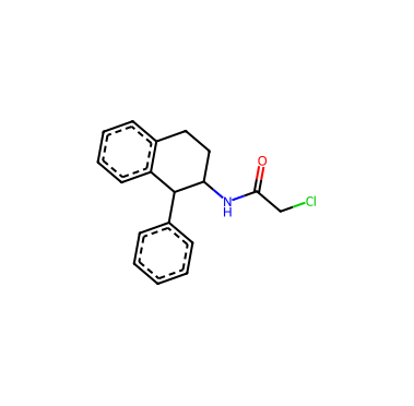 O=C(CCl)NC1CCc2ccccc2C1c1ccccc1